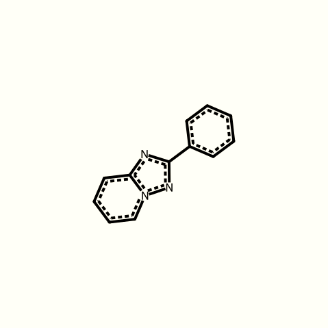 c1ccc(-c2nc3ccccn3n2)cc1